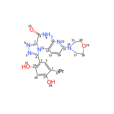 CC(C)c1cc(-c2nnc(C(N)=O)n2-c2ccc(N3CCOCC3)nc2)c(O)cc1O